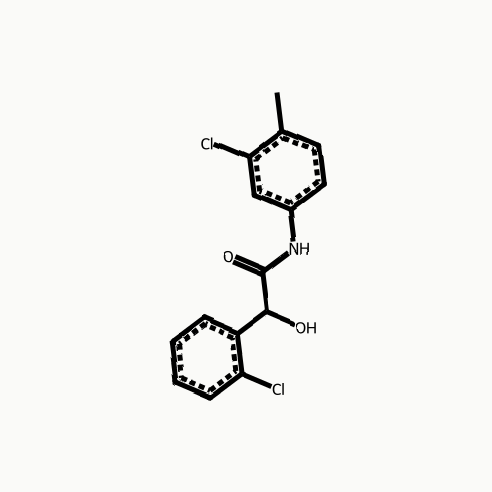 Cc1ccc(NC(=O)C(O)c2ccccc2Cl)cc1Cl